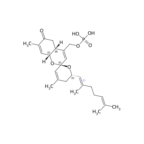 CC(C)=CCC/C(C)=C/[C@@H]1CC(C)=C[C@]2(C=C(COP(=O)(O)O)[C@H]3CC(=O)C(C)=C[C@H]3O2)O1